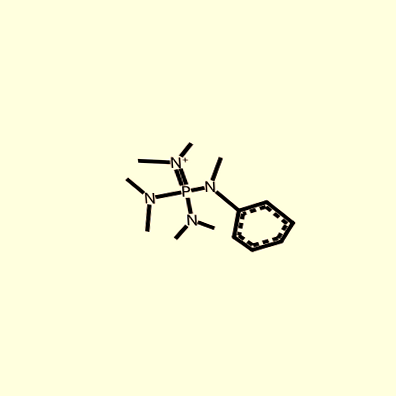 CN(C)P(N(C)C)(N(C)c1ccccc1)=[N+](C)C